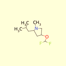 CC(C)CC1CC(OC(F)F)CN1C